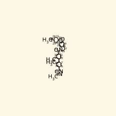 Cc1nnc(-c2ccc(-c3ccc(C(=O)N4CCc5cc6c(cc54)C4(CCN(C)CC4)CO6)cc3C)c(C)c2)o1